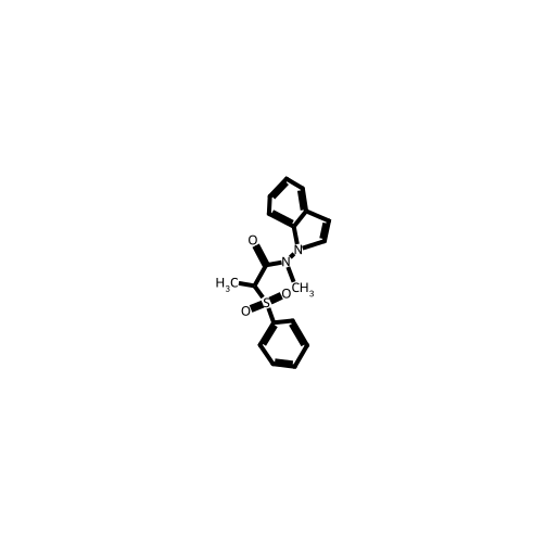 CC(C(=O)N(C)n1ccc2ccccc21)S(=O)(=O)c1ccccc1